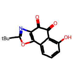 CC(C)(C)c1nc2c(o1)-c1cccc(O)c1C(=O)C2=O